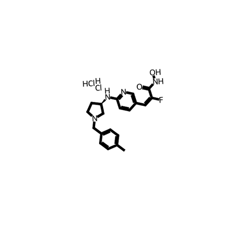 Cc1ccc(CN2CC[C@@H](Nc3ccc(/C=C(/F)C(=O)NO)cn3)C2)cc1.Cl.Cl